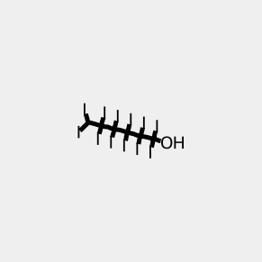 OC(I)(I)C(I)(I)C(I)(I)C(I)(I)C(I)(I)C(I)I